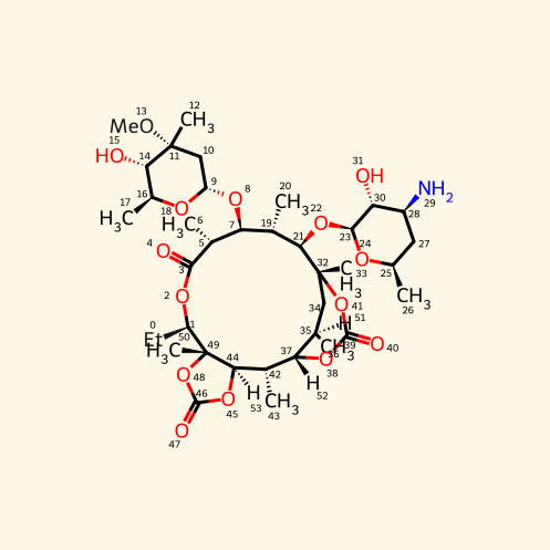 CC[C@H]1OC(=O)[C@H](C)[C@@H](O[C@H]2C[C@@](C)(OC)[C@@H](O)[C@H](C)O2)[C@H](C)[C@@H](O[C@@H]2O[C@H](C)C[C@H](N)[C@H]2O)[C@@]2(C)C[C@@H](C)[C@H](OC(=O)O2)[C@H](C)[C@H]2OC(=O)O[C@@]21C